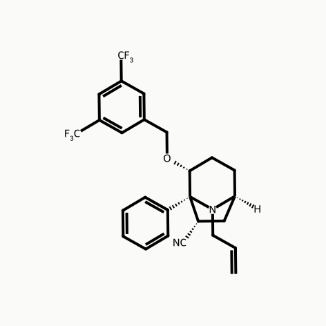 C=CCN1[C@H]2CC[C@@H](OCc3cc(C(F)(F)F)cc(C(F)(F)F)c3)[C@]1(c1ccccc1)[C@@H](C#N)C2